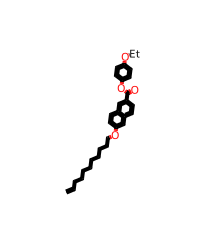 C=CCCCCCCCCCOc1ccc2cc(C(=O)Oc3ccc(OCC)cc3)ccc2c1